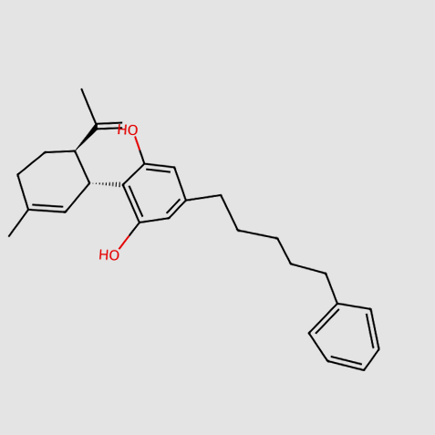 C=C(C)[C@@H]1CCC(C)=C[C@H]1c1c(O)cc(CCCCCc2ccccc2)cc1O